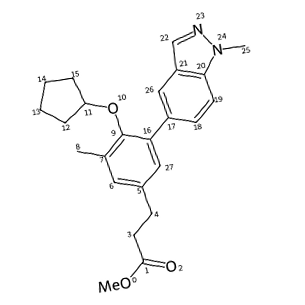 COC(=O)CCc1cc(C)c(OC2CCCC2)c(-c2ccc3c(cnn3C)c2)c1